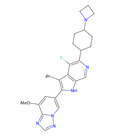 COc1cc(-c2[nH]c3cnc(C4CCC(N5CCC5)CC4)c(F)c3c2C(C)C)cn2ncnc12